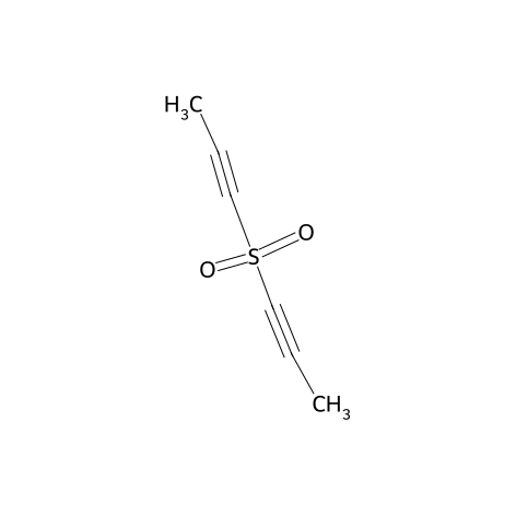 CC#CS(=O)(=O)C#CC